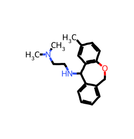 Cc1ccc2c(c1)C(NCCN(C)C)c1ccccc1CO2